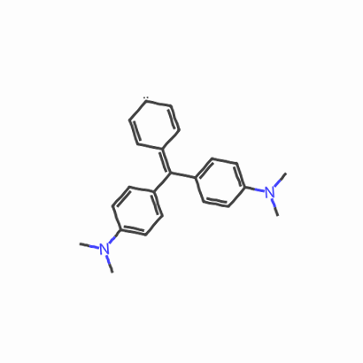 CN(C)c1ccc(C(=C2C=C[C]C=C2)c2ccc(N(C)C)cc2)cc1